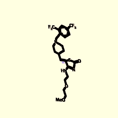 COCCOCCNC1=NC(=O)S/C1=C\C1CCN(Cc2ccc(C(F)(F)F)cc2C(F)(F)F)CC1